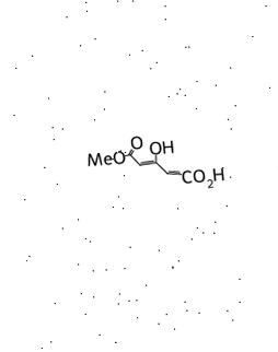 COC(=O)C=C(O)C=CC(=O)O